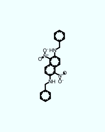 O=[N+]([O-])c1c(NCc2ccccc2)ccc2c([N+](=O)[O-])c(NCc3ccccc3)ccc12